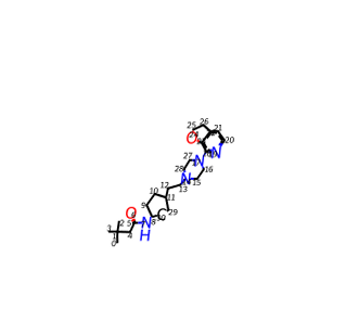 CC(C)(C)CC(=O)NC1CCC(CCN2CCN(c3nccc4c3OCC4)CC2)CC1